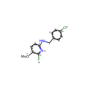 COc1ccc(NCc2ccc(Cl)cc2)nc1F